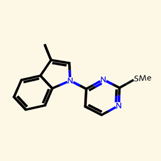 CSc1nccc(-n2cc(C)c3ccccc32)n1